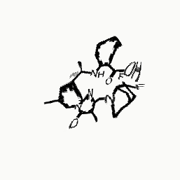 Cc1cc([C@@H](C)Nc2ccccc2C(=O)O)c2nc(N3CC4CC3C(F)(F)C4)c(C)c(=O)n2c1